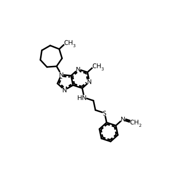 C=Nc1ccccc1SCCNc1nc(C)nc2c1ncn2C1CCCCC(C)C1